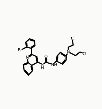 O=C(Nc1ccc(N(CCCl)CCCl)cc1)Nc1cc(-c2ccccc2Br)nc2ccccc12